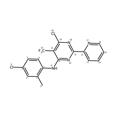 Cc1cc(Cl)ccc1Nc1nc(-c2ccccn2)nc(Cl)c1C(F)(F)F